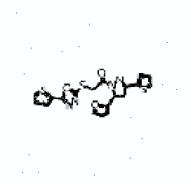 O=C(CSc1nnc(-c2cccs2)o1)N1N=C(c2cccs2)CC1c1ccco1